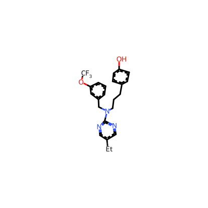 CCc1cnc(N(CCCc2ccc(O)cc2)Cc2cccc(OC(F)(F)F)c2)nc1